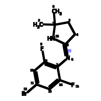 CC1(C)CC/C(=N/c2c(F)cc(Br)cc2F)N1